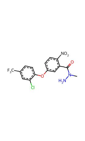 CN(N)C(=O)c1cc(Oc2ccc(C(F)(F)F)cc2Cl)ccc1[N+](=O)[O-]